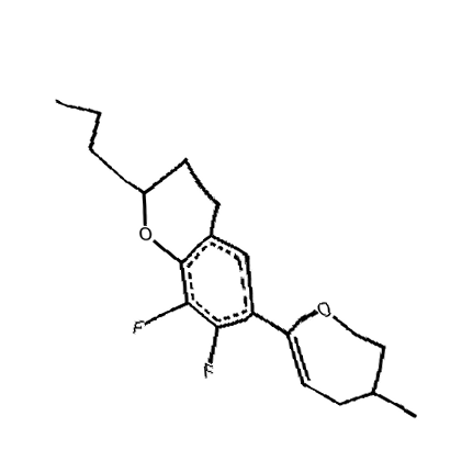 CCCC1CCc2cc(C3=CCC(C)CO3)c(F)c(F)c2O1